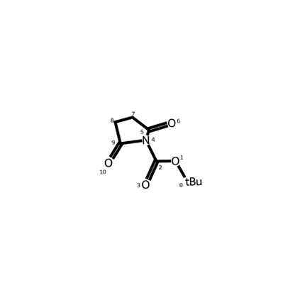 CC(C)(C)OC(=O)N1C(=O)CCC1=O